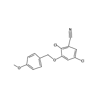 COc1ccc(COc2cc(Cl)cc(C#N)c2Cl)cc1